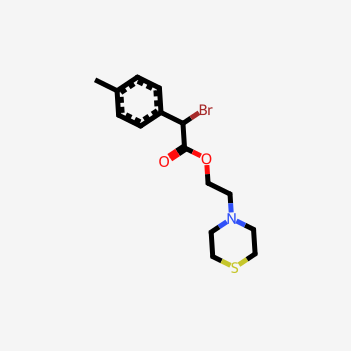 Cc1ccc(C(Br)C(=O)OCCN2CCSCC2)cc1